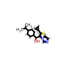 CC(C)C1CCC(C(O)c2c(C3CC3)sc3cncn23)CC1